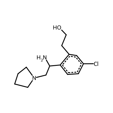 NC(CN1CCCC1)c1ccc(Cl)cc1CCO